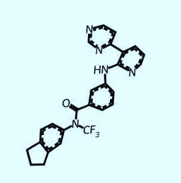 O=C(c1cccc(Nc2ncccc2-c2ccncn2)c1)N(c1ccc2c(c1)CCC2)C(F)(F)F